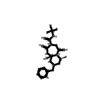 C[C@@H]1CN(Cc2ccccc2)C[C@@H]2CC(=O)N(C(=O)OC(C)(C)C)CC(=O)N21